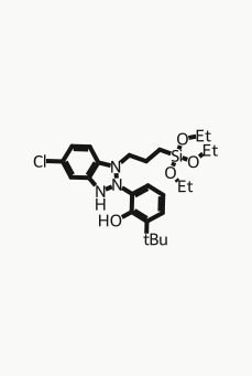 CCO[Si](CCCN1c2ccc(Cl)cc2NN1c1cccc(C(C)(C)C)c1O)(OCC)OCC